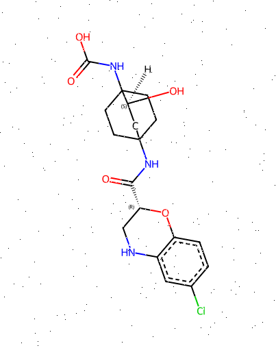 O=C(O)NC12CCC(NC(=O)[C@H]3CNc4cc(Cl)ccc4O3)(CC1)C[C@@H]2O